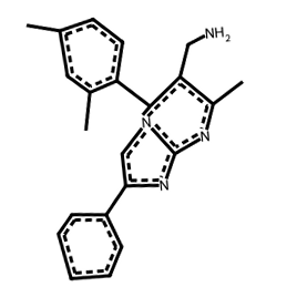 Cc1ccc(-c2c(CN)c(C)nc3nc(-c4ccccc4)cn23)c(C)c1